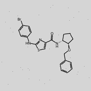 O=C(N[C@@H]1CCC[C@H]1OCc1ccccc1)c1csc(Nc2ccc(Br)cc2)n1